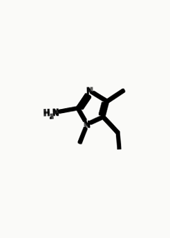 CCc1c(C)nc(N)n1C